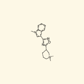 Cn1cc(-c2noc(C3CCC[N+](C)(C)C3)n2)c2ccccc21